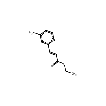 CCOC(=O)/C=C/c1cc(N)ccn1